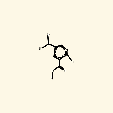 COC(=O)c1cc(C(Br)Br)cnc1Cl